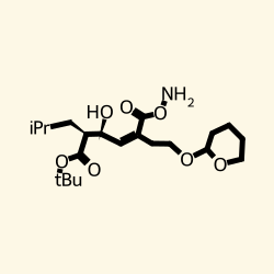 CC(C)C[C@H](C(=O)OC(C)(C)C)[C@@H](O)C=C(CCOC1CCCCO1)C(=O)ON